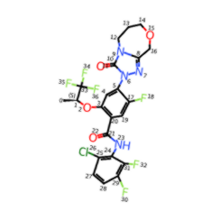 C[C@H](Oc1cc(-n2nc3n(c2=O)CCCOC3)c(F)cc1C(=O)Nc1c(Cl)ccc(F)c1F)C(F)(F)F